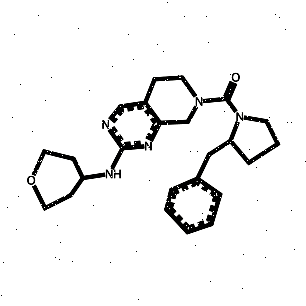 O=C(N1CCc2cnc(NC3CCOCC3)nc2C1)N1CCCC1Cc1ccccc1